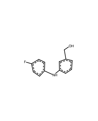 OCc1cccc(Nc2ccc(F)cc2)c1